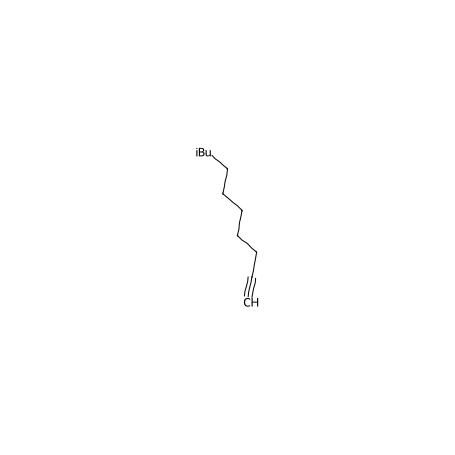 C#CCCCCCC(C)CC